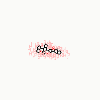 Bc1c(B)c(B)c2c(-c3c4c(B)c(B)c(B)c(B)c4c(-c4c(B)c(B)c5c(oc6c(B)c7c(B)c(B)c(B)c(B)c7c(B)c65)c4B)c4c(B)c(B)c(B)c(B)c34)c(B)c(B)c(B)c2c1B